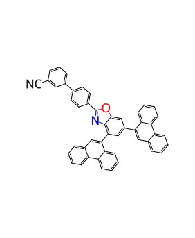 N#Cc1cccc(-c2ccc(-c3nc4c(-c5cc6ccccc6c6ccccc56)cc(-c5cc6ccccc6c6ccccc56)cc4o3)cc2)c1